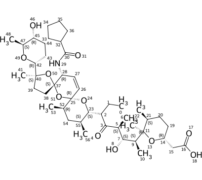 CCC(C(=O)[C@@H](C)[C@@H](O)[C@H](C)[C@]1(C)O[C@@H](CC(=O)O)CC[C@@H]1C)[C@H]1O[C@]2(C=C[C@@H](NC(=O)C3CCCC3)[C@]3(CC[C@@](C)([C@H]4CC[C@@H](O)[C@H](C)O4)O3)O2)[C@H](C)C[C@@H]1C